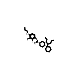 CCCOc1ccc(OC(=O)[C@H]2CC[C@H](C3(C(CCC)CCC)CCCCC3)CC2)c(F)c1F